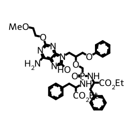 CCOC(=O)C(Cc1ccccc1)NP(=O)(COC(COc1ccccc1)Cn1c(O)nc2c(N)nc(OCCOC)nc21)NC(Cc1ccccc1)C(=O)OCC